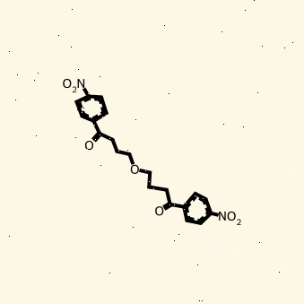 O=C(CCCOCCCC(=O)c1ccc([N+](=O)[O-])cc1)c1ccc([N+](=O)[O-])cc1